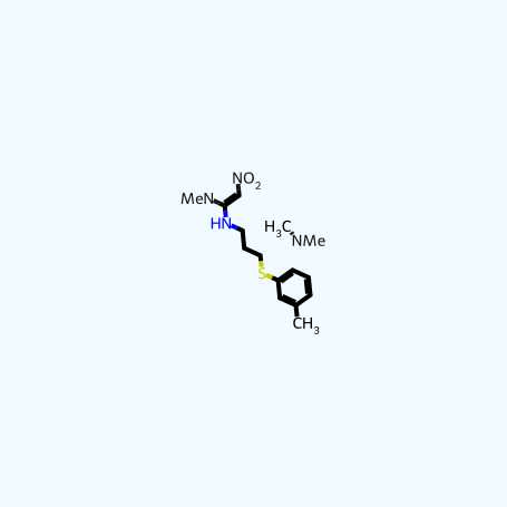 CNC.CNC(=C[N+](=O)[O-])NCCCSc1cccc(C)c1